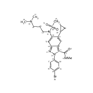 CNC(=O)c1c2cc(C3CC3)c(N(CCCN(C)C)S(C)(=O)=O)cc2nn1-c1ccc(Br)cc1